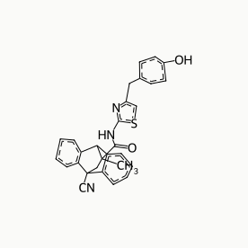 CC1(C(=O)Nc2nc(Cc3ccc(O)cc3)cs2)CC2(C#N)c3ccccc3C1c1ccccc12